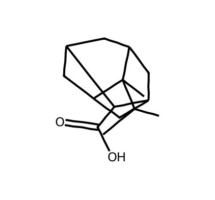 CC(C)C1(C)C2CC3CC1CC(C2)C3C(=O)O